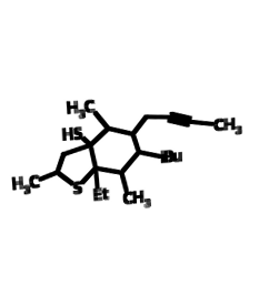 CC#CCC1C(C(C)CC)C(C)C2(CC)SC(C)CC2(S)C1C